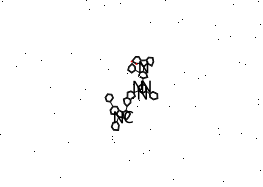 c1ccc(-c2ccc3c(c2)c2c(-c4ccc5ccc(-c6nc(-c7ccccc7)nc(-c7ccc(-n8c9ccccc9c9ccccc98)c(-c8ccccc8)c7)n6)cc5c4)cccc2n3-c2ccccc2)cc1